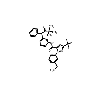 CC(C)(C)C(=O)C(c1ccccc1)c1cccc(NC(=O)c2cc(C(F)(F)F)nn2-c2cccc(CN)c2)c1